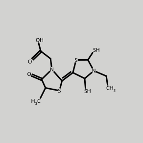 CCN1C(S)S/C(=C2/SC(C)C(=O)N2CC(=O)O)C1S